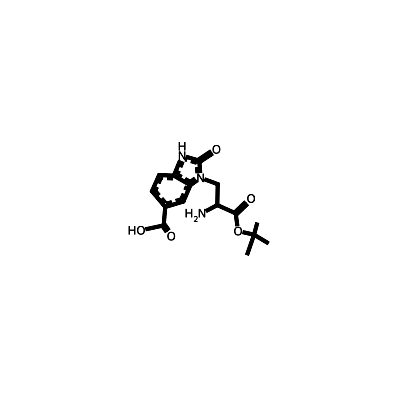 CC(C)(C)OC(=O)C(N)Cn1c(=O)[nH]c2ccc(C(=O)O)cc21